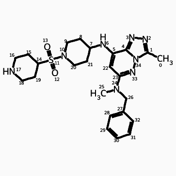 Cc1nnc2c(NC3CCN(S(=O)(=O)C4CCNCC4)CC3)cc(N(C)Cc3ccccc3)nn12